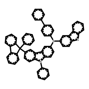 c1ccc(-c2ccc(N(c3ccc4sc5ccccc5c4c3)c3ccc4c(c3)c3cc(C5(c6ccccc6)c6ccccc6-c6ccccc65)ccc3n4-c3ccccc3)cc2)cc1